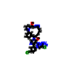 N/C(Cl)=C\N(N)c1ccc(Cl)cc1-c1cc(=O)n(C2CCCCCNC(=O)C3CCCN3c3cccc2c3)cn1